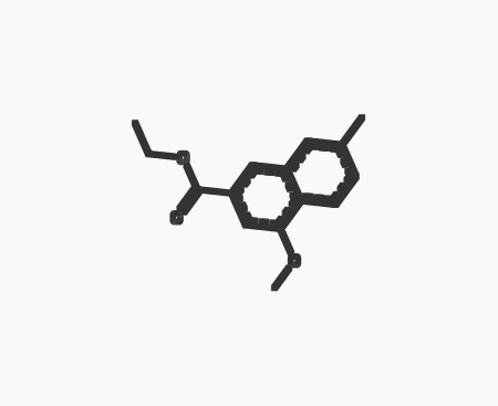 CCOC(=O)c1cc(OC)c2ccc(C)cc2c1